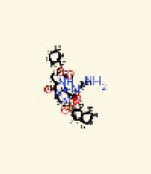 CC(C)CC(NC(=O)OCc1ccccc1)C(=O)N1CCN(S(=O)(=O)c2ccc3ccccc3c2)C(C(=O)NCCN)C1